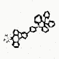 CC1(C)c2ccccc2-n2c3ccc(-c4ccc(N5c6ccccc6C(c6ccccc6)(c6ccccc6)c6ccccc65)cc4)cc3c3cccc1c32